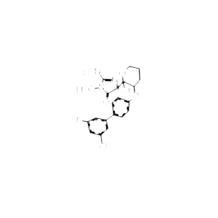 CN1C(=O)[C@]2(N=C1N)c1cc(-c3cc(F)cc(Cl)c3)ccc1OC1CCCOC12C